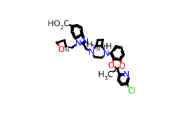 C[C@]1(c2ccc(Cl)cn2)Oc2cccc(N3CCN(Cc4nc5ccc(C(=O)O)cc5n4C[C@@H]4CCO4)[C@H]4CC[C@H]43)c2O1